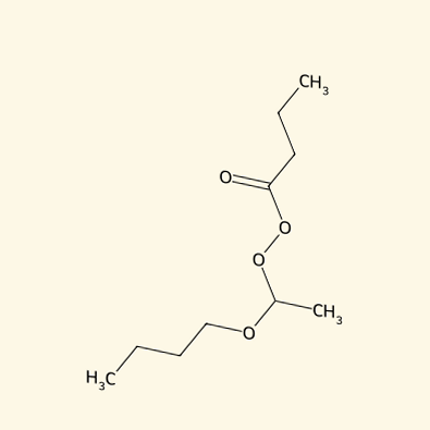 CCCCOC(C)OOC(=O)CCC